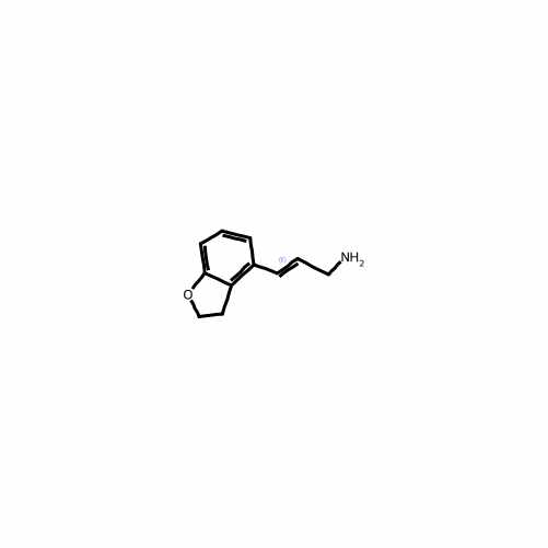 NC/C=C/c1cccc2c1CCO2